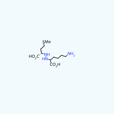 CSCC[C@H](NN[C@@H](CCCCN)C(=O)O)C(=O)O